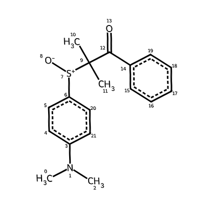 CN(C)c1ccc([S+]([O-])C(C)(C)C(=O)c2ccccc2)cc1